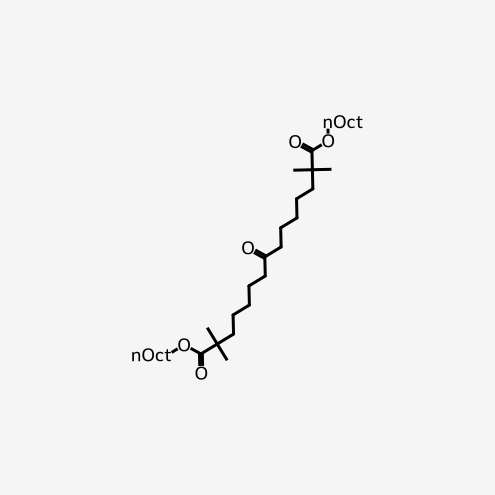 CCCCCCCCOC(=O)C(C)(C)CCCCCC(=O)CCCCCC(C)(C)C(=O)OCCCCCCCC